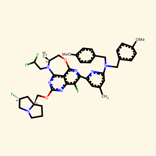 COc1ccc(CN(Cc2ccc(OC)cc2)c2cc(C)cc(-c3nc4c5c(nc(OC[C@@]67CCCN6C[C@H](F)C7)nc5c3F)N(CC(F)F)[C@@H](C)CO4)n2)cc1